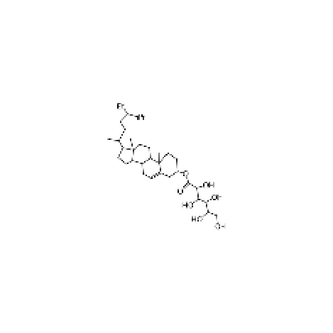 CCC(CCC(C)C1CCC2C3CC=C4CC(OC(=O)C(O)C(O)C(O)C(O)CO)CCC4(C)C3CCC12C)C(C)C